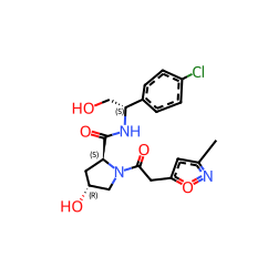 Cc1cc(CC(=O)N2C[C@H](O)C[C@H]2C(=O)N[C@H](CO)c2ccc(Cl)cc2)on1